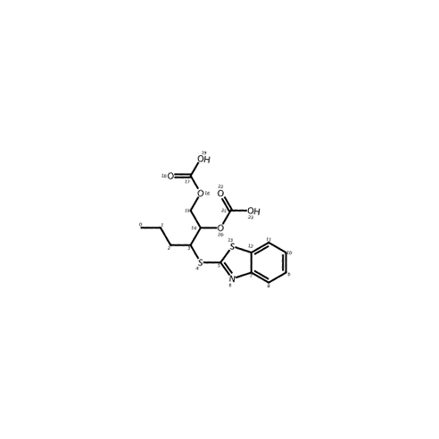 CCCC(Sc1nc2ccccc2s1)C(COC(=O)O)OC(=O)O